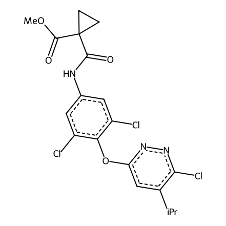 COC(=O)C1(C(=O)Nc2cc(Cl)c(Oc3cc(C(C)C)c(Cl)nn3)c(Cl)c2)CC1